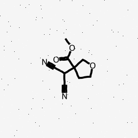 COC(=O)C1(C(C#N)C#N)CCOC1